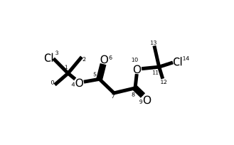 CC(C)(Cl)OC(=O)CC(=O)OC(C)(C)Cl